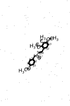 COc1ccc(C[S+]([O-])C=Cc2ccc(OC)c(C)c2OC)cc1